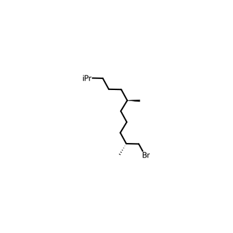 CC(C)CCC[C@@H](C)CCC[C@@H](C)CBr